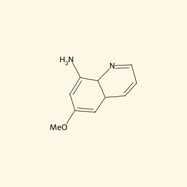 COC1=CC2C=CC=NC2C(N)=C1